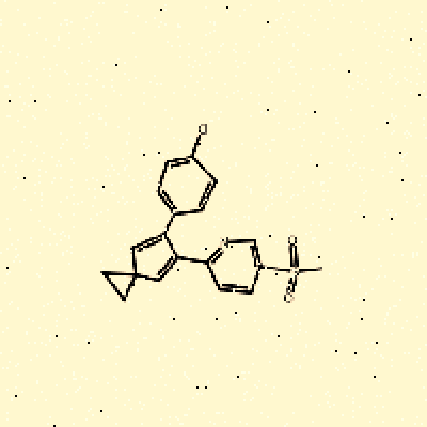 CS(=O)(=O)c1ccc(C2=CC3(C=C2c2ccc(Cl)cc2)CC3)nc1